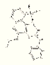 CCOC(=O)C1=C(c2ccccc2C(F)(F)F)CCN(Cc2ccccc2)C1